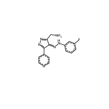 NCC1=NN=C(c2ccncc2)C1=NNc1cccc(F)c1